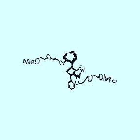 COCCOCCOc1ccccc1-c1ccc(-c2ccccc2OCCOCCOC)c2snnc12